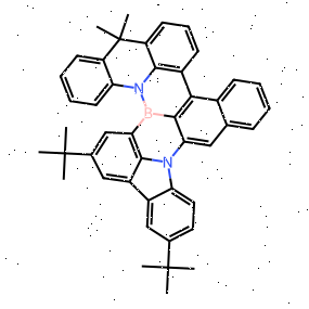 CC(C)(C)c1ccc2c(c1)c1cc(C(C)(C)C)cc3c1n2-c1cc2ccccc2c2c1B3N1c3ccccc3C(C)(C)c3cccc-2c31